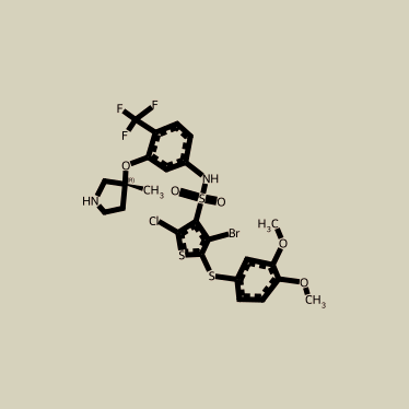 COc1ccc(Sc2sc(Cl)c(S(=O)(=O)Nc3ccc(C(F)(F)F)c(O[C@]4(C)CCNC4)c3)c2Br)cc1OC